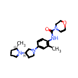 Cc1cc(N2CC[C@@H](N3CCC[C@@H]3C)C2)ccc1NC(=O)N1CCOCC1